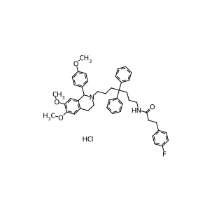 COc1ccc(C2c3cc(OC)c(OC)cc3CCN2CCCC(CCCNC(=O)CCc2ccc(F)cc2)(c2ccccc2)c2ccccc2)cc1.Cl